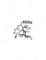 CNCC(CC1CCC(F)CC1)C1CN(C(N)=O)CCO1